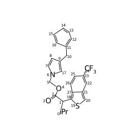 CC(C)C(C(=O)OCn1ccc(Cc2ccccc2)c1)c1scc2cc(C(F)(F)F)ccc12